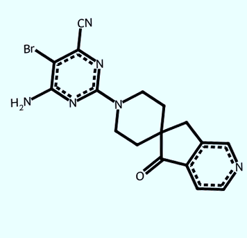 N#Cc1nc(N2CCC3(CC2)Cc2cnccc2C3=O)nc(N)c1Br